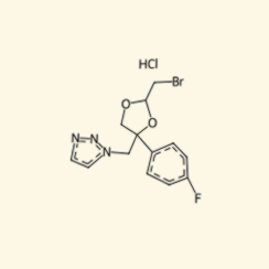 Cl.Fc1ccc(C2(Cn3ccnn3)COC(CBr)O2)cc1